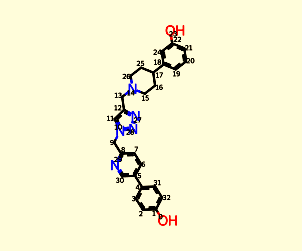 Oc1ccc(-c2ccc(Cn3cc(CN4CCC(c5cccc(O)c5)CC4)nn3)nc2)cc1